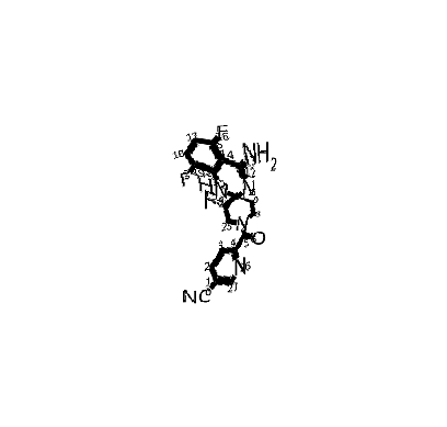 N#Cc1ccc(C(=O)N2CC[C@@]3(N=C(N)c4c(F)ccc(F)c4N3)[C@@H](F)C2)nc1